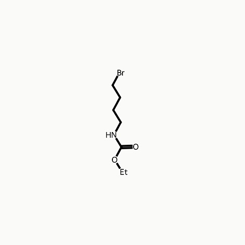 CCOC(=O)NCCCCBr